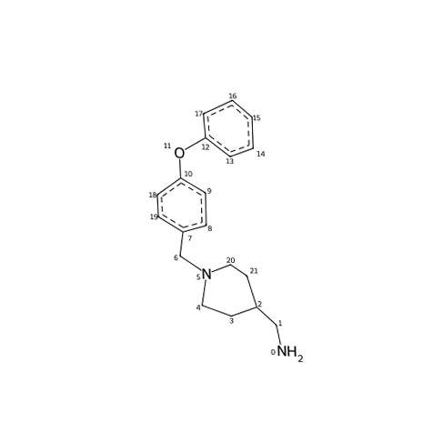 NCC1CCN(Cc2ccc(Oc3ccccc3)cc2)CC1